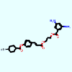 CCCC1CCC(C(=O)Oc2ccc(C=CC(=O)OCCCOC(=O)c3cc(N)cc(N)c3)cc2)CC1